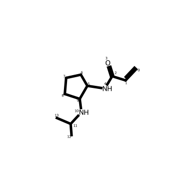 C=CC(=O)NC1CCCC1NC(C)C